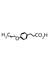 C=CCOc1ccc(CCC(=O)O)cc1